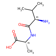 CC(C)[C@@H](N)C(=O)N[C@H](C)C(=O)O